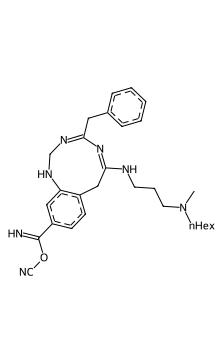 CCCCCCN(C)CCCN/C1=N/C(Cc2ccccc2)=N\CNc2cc(C(=N)OC#N)ccc2C1